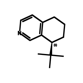 CC(C)(C)[C@@H]1CCCc2ccncc21